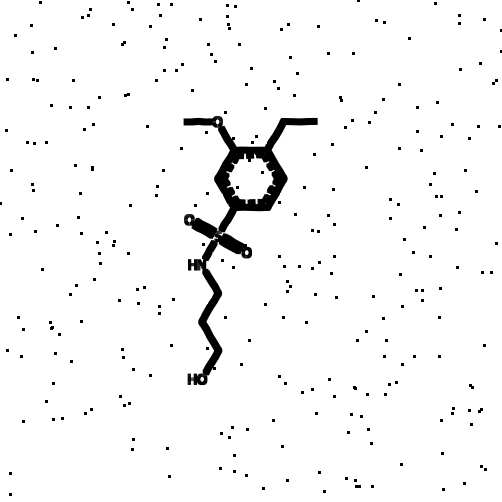 CCc1ccc(S(=O)(=O)NCCCO)cc1OC